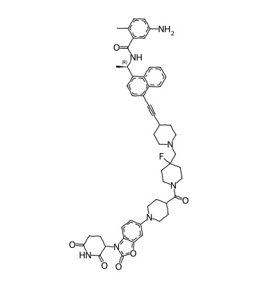 Cc1ccc(N)cc1C(=O)N[C@H](C)c1ccc(C#CC2CCN(CC3(F)CCN(C(=O)C4CCN(c5ccc6c(c5)oc(=O)n6C5CCC(=O)NC5=O)CC4)CC3)CC2)c2ccccc12